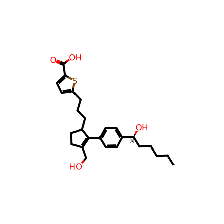 CCCCC[C@H](O)c1ccc(C2=C(CO)CCC2CCCc2ccc(C(=O)O)s2)cc1